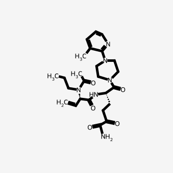 C=C[C@@H](C(=O)N[C@@H](CCC(=O)C(N)=O)C(=O)N1CCN(c2ncccc2C)CC1)N(CCC)C(C)=O